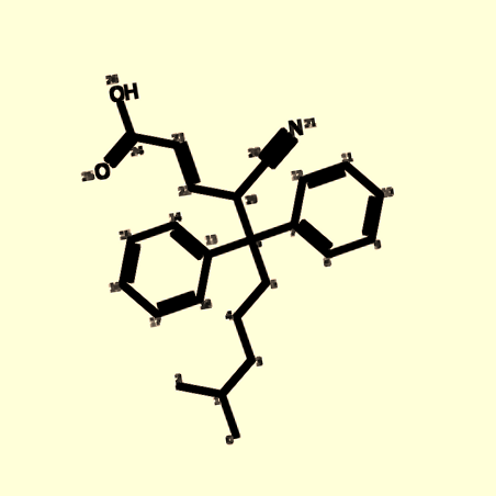 CC(C)CCCC(c1ccccc1)(c1ccccc1)C(C#N)C=CC(=O)O